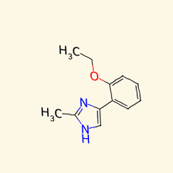 CCOc1ccccc1-c1c[nH]c(C)n1